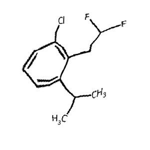 CC(C)c1cccc(Cl)c1CC(F)F